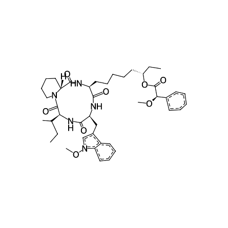 CCC(C)[C@@H]1NC(=O)[C@H](Cc2cn(OC)c3ccccc23)NC(=O)[C@H](CCCCC[C@H](CC)OC(=O)[C@H](OC)c2ccccc2)NC(=O)[C@H]2CCCCN2C1=O